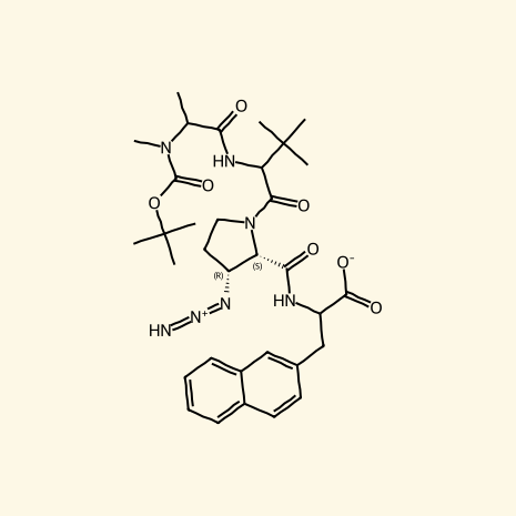 CC(C(=O)NC(C(=O)N1CC[C@@H](N=[N+]=N)[C@H]1C(=O)NC(Cc1ccc2ccccc2c1)C(=O)[O-])C(C)(C)C)N(C)C(=O)OC(C)(C)C